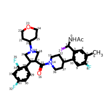 CC(=O)NC(I)c1cc(C)c(F)cc1C1CCN(C(=O)C2CN(C3CCOCC3)CC2c2ccc(F)cc2F)CC1